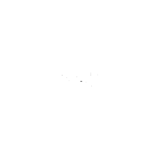 O=[N+]([O-])OC[C@@H]1CCCN1